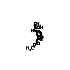 CCOC(=O)Cc1noc2ccc(NC(O)CC)cc12